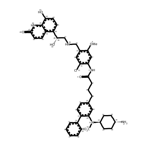 COc1cc(NC(=O)CCCc2ccc(-c3ccccc3)c(N(C(=O)O)[C@H]3CC[C@H](N)CC3)c2)c(Cl)cc1CNC[C@H](O)c1ccc(O)c2[nH]c(=O)ccc12